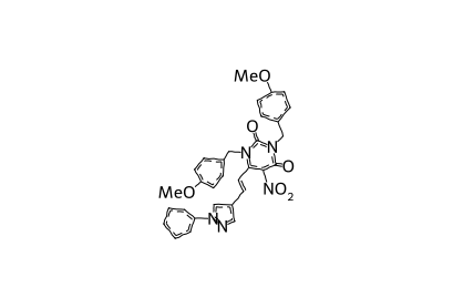 COc1ccc(Cn2c(C=Cc3cnn(-c4ccccc4)c3)c([N+](=O)[O-])c(=O)n(Cc3ccc(OC)cc3)c2=O)cc1